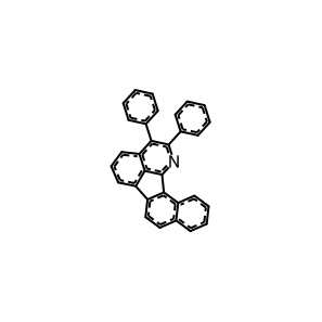 c1ccc(-c2nc3c4c(cccc4c2-c2ccccc2)-c2ccc4ccccc4c2-3)cc1